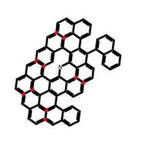 c1ccc2c(-c3c(-c4cccc5ccccc45)c(-c4cccc5ccccc45)c4ccccc4c3[N]c3c(-c4cccc5ccccc45)c(-c4cccc5ccccc45)c(-c4cccc5ccccc45)c4ccccc34)cccc2c1